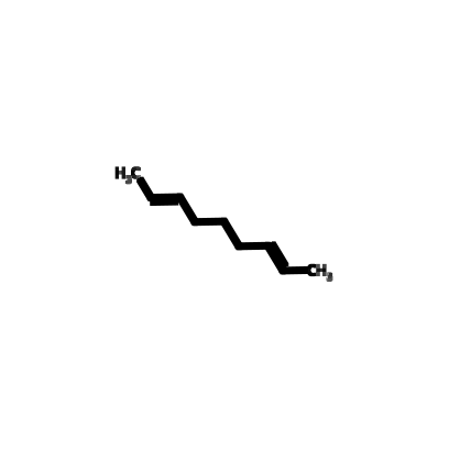 C/C=C/CCC/C=C/C